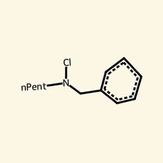 CCCCCN(Cl)Cc1ccccc1